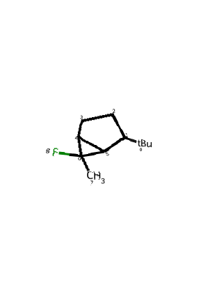 CC(C)(C)C1CCC2C1C2(C)F